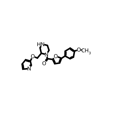 COc1ccc(-c2ccc(C(=O)N3CCNCC3COc3cccnc3)o2)cc1